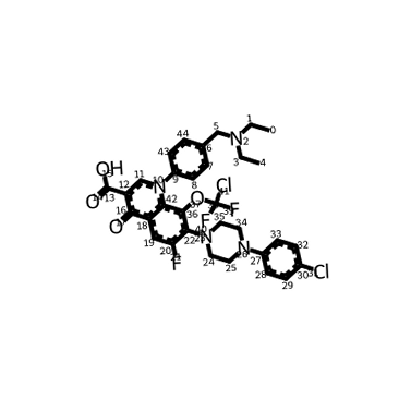 CCN(CC)Cc1ccc(-n2cc(C(=O)O)c(=O)c3cc(F)c(N4CCN(c5ccc(Cl)cc5)CC4)c(OC(F)(F)Cl)c32)cc1